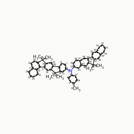 Cc1ccc(N(c2ccc3c(c2)C(C)(C)c2cc4c(cc2-3)C(C)(C)c2ccc3ccccc3c2-4)c2ccc3cc4c(cc3c2)C(C)(C)c2cc3ccccc3cc2-4)cc1